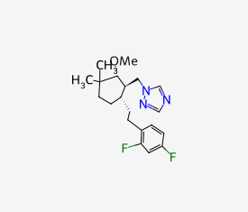 CO[C@@H]1[C@@H](Cn2cncn2)[C@H](CCc2ccc(F)cc2F)CCC1(C)C